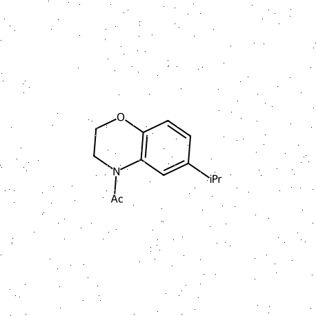 CC(=O)N1CCOc2ccc(C(C)C)cc21